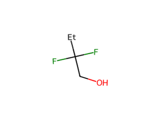 CCC(F)(F)CO